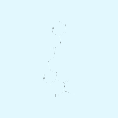 CCN(CC)C(=O)c1cccc(CCNCc2ccccc2)c1